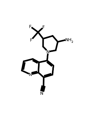 N#Cc1ccc(N2CC(N)CC(C(F)(F)F)C2)c2cccnc12